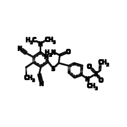 C=CS(=O)(=O)N(C)c1ccc(C(Sc2nc(N(C)C)c(C#N)c(CC)c2C#N)C(N)=O)cc1